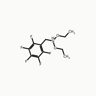 CCO[SiH](Cc1c(F)c(F)c(F)c(F)c1F)OCC